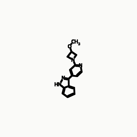 COC1CN(c2cc(-c3n[nH]c4ccccc34)ccn2)C1